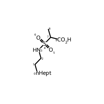 CCCCCCCCCNS(=O)(=O)C(C)C(=O)O